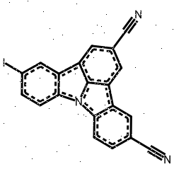 N#Cc1ccc2c(c1)c1cc(C#N)cc3c4cc(I)ccc4n2c31